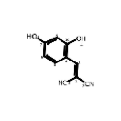 N#CC(C#N)=Cc1ccc(O)cc1O